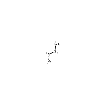 NSSS